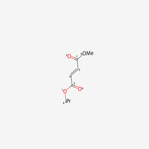 COC(=O)/C=C/C(=O)OC(C)C